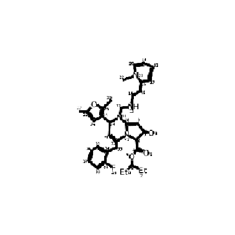 CCC(CC)OC(=O)C1C(=O)C=C2N(CNCCC3C=CC=CN3C)C(c3cc(C)oc3C)C=C(Cc3ccccc3F)N21